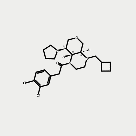 O=C(Cc1ccc(Cl)c(Cl)c1)N1CCN(CC2CCC2)[C@@H]2COC[C@H](N3CCCC3)[C@H]21